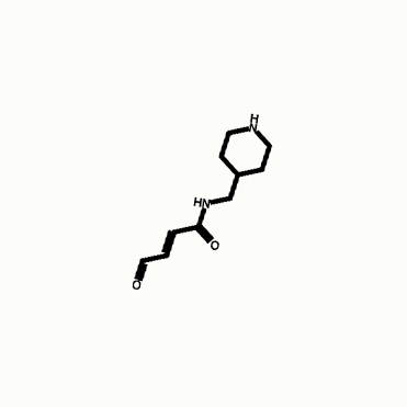 O=C/C=C/C(=O)NCC1CCNCC1